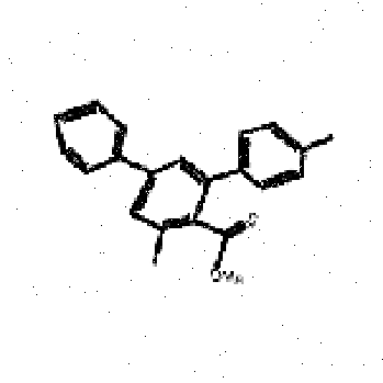 COC(=O)c1c(C)cc(-c2ccccc2)cc1-c1ccc(C)cc1